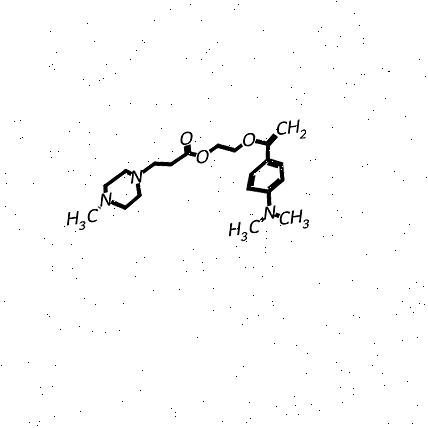 C=C(OCCOC(=O)CCN1CCN(C)CC1)c1ccc(N(C)C)cc1